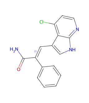 NC(=O)/C(=C/c1c[nH]c2nccc(Cl)c12)c1ccccc1